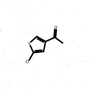 CC(=O)c1csc(Cl)c1